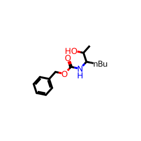 CCCCC(NC(=O)OCc1ccccc1)C(C)O